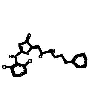 O=C(/C=C1\SC([AsH]c2c(Cl)cccc2Cl)=NC1=O)NCCOc1ccccc1